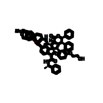 COc1ccc(C#Cc2ccc3c(c2)[C@]2(C(=O)N3C(=O)N[C@@H](C)c3ccccc3)[C@H](c3cccc(OCCO)c3)N3[C@H](c4ccccc4)[C@H](c4ccccc4)OC(=O)[C@H]3[C@@H]2C(=O)Nc2ccc(N3CCOCC3)cc2)cc1